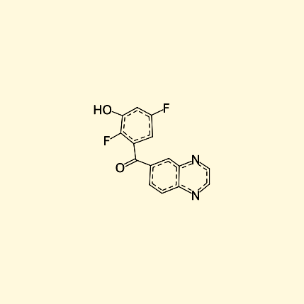 O=C(c1ccc2nccnc2c1)c1cc(F)cc(O)c1F